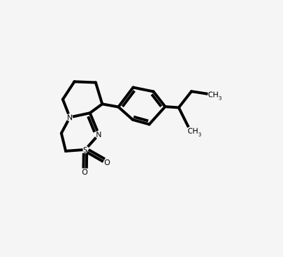 CCC(C)c1ccc(C2CCCN3CCS(=O)(=O)N=C23)cc1